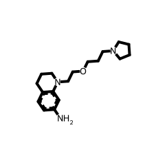 Nc1ccc2c(c1)N(CCOCCCN1CCCC1)CCC2